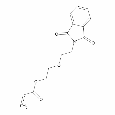 C=CC(=O)OCCOCCN1C(=O)c2ccccc2C1=O